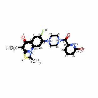 CC1Sc2c(C(=O)O)c(=O)c3cc(F)c(N4CCN(C(=O)c5cccc(Br)n5)CC4)cc3n21